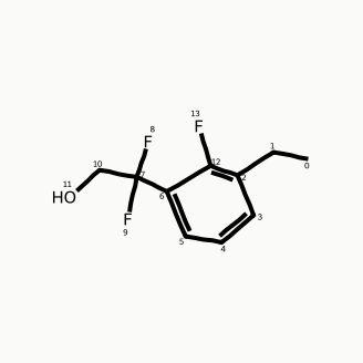 CCc1cccc(C(F)(F)CO)c1F